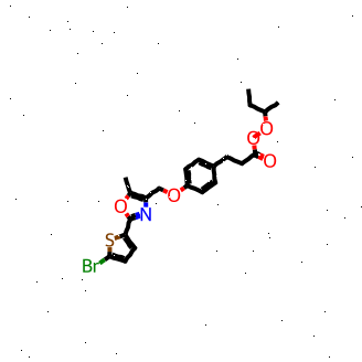 CCC(C)OOC(=O)CCc1ccc(OCc2nc(-c3ccc(Br)s3)oc2C)cc1